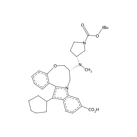 CN([C@@H]1CCN(C(=O)OC(C)(C)C)C1)[C@H]1COc2ccccc2-c2c(C3CCCCC3)c3ccc(C(=O)O)cc3n2C1